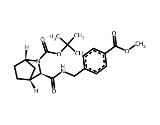 COC(=O)c1ccc(CNC(=O)[C@H]2[C@@H]3CC[C@@H](C3)N2C(=O)OC(C)(C)C)cc1